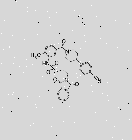 Cc1ccc(C(=O)N2CCC(c3ccc(C#N)cc3)CC2)cc1NS(=O)(=O)CCCN1C(=O)c2ccccc2C1=O